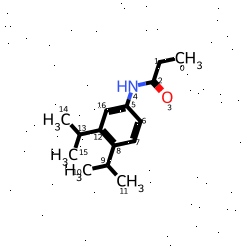 CCC(=O)Nc1ccc(C(C)C)c(C(C)C)c1